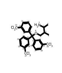 CC(N)C(C)COC(c1cccc(C(Cl)(Cl)Cl)c1)(c1cccc(C(Cl)(Cl)Cl)c1)c1cccc(C(Cl)(Cl)Cl)c1